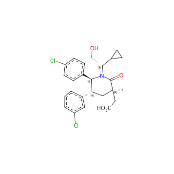 C[C@]1(CC(=O)O)C[C@H](c2cccc(Cl)c2)[C@@H](c2ccc(Cl)cc2)N([C@H](CO)C2CC2)C1=O